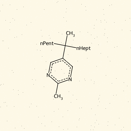 CCCCCCCC(C)(CCCCC)c1cnc(C)nc1